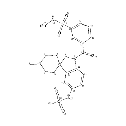 CC1CCC2(CC1)CN(C(=O)c1cccc(S(=O)(=O)NC(C)(C)C)c1)c1ccc(NS(C)(=O)=O)cc12